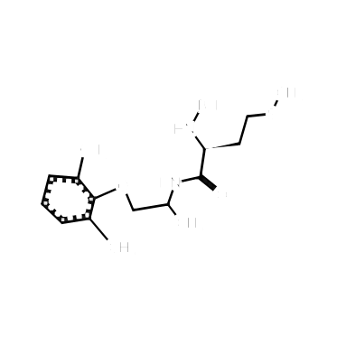 BN[C@@H](CCSC)C(=O)NC(C)COc1c(C)cccc1C